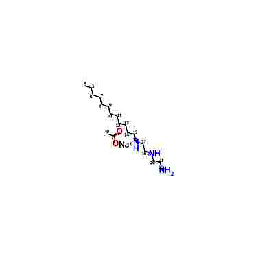 CC(=O)[O-].CCCCCCCCCCCCNCCNCCN.[Na+]